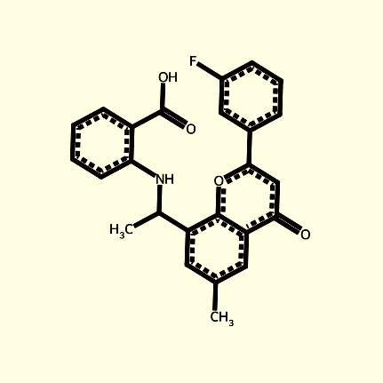 Cc1cc(C(C)Nc2ccccc2C(=O)O)c2oc(-c3cccc(F)c3)cc(=O)c2c1